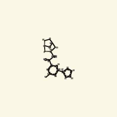 Cc1cc(C(=O)NC2CC3CCC(C2)O3)nc(-n2ccnc2)c1